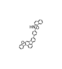 c1ccc2c3c(ccc2c1)NC(c1ccc(-c2ccc4c(c2)-c2cc5oc6ccccc6c5c5cccc-4c25)cc1)O3